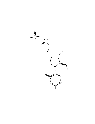 N=P(O)(OC[C@H]1O[C@@H](n2ccc(N)nc2=O)/C(=C\F)[C@@H]1O)OP(=O)(O)O